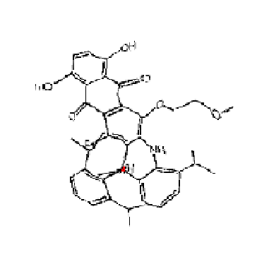 COCCOc1c(Nc2c(C(C)C)cccc2C(C)C)c(Nc2c(C(C)C)cccc2C(C)C)c(F)c2c1C(=O)c1c(O)ccc(O)c1C2=O